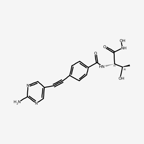 C[C@@H](O)[C@H](NC(=O)c1ccc(C#Cc2cnc(N)nc2)cc1)C(=O)NO